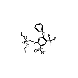 CCOP(=O)(CNc1cc(Oc2ccccc2)c(C(F)(F)F)cc1[N+](=O)[O-])OCC